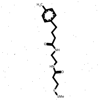 CSSCCC(=O)NCCNC(=O)CCCc1ccc(C)cc1